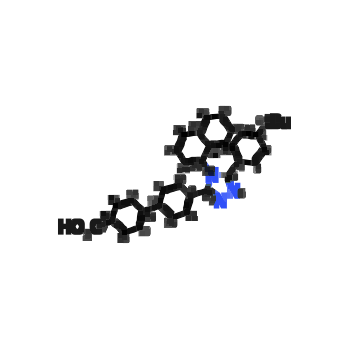 CC(C)(C)c1ccc(-c2nnc(-c3ccc(-c4ccc(C(=O)O)cc4)cc3)n2-c2cccc3ccccc23)cc1